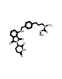 CN(CCCc1ccc(CNc2cccc3c2C(=O)N(C2CCC(=O)NC2=O)C3=O)cc1)C(=O)OC(C)(C)C